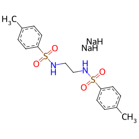 Cc1ccc(S(=O)(=O)NCCNS(=O)(=O)c2ccc(C)cc2)cc1.[NaH].[NaH]